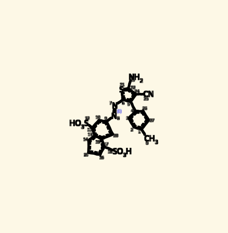 Cc1ccc(-c2c(/N=N/c3cc(S(=O)(=O)O)c4cccc(S(=O)(=O)O)c4c3)sc(N)c2C#N)cc1